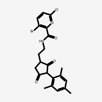 Cc1cc(C)c(C2C(=O)CC(CCNC(=O)c3nc(Cl)ccc3Br)C2=O)c(C)c1